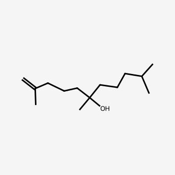 C=C(C)CCCC(C)(O)CCCC(C)C